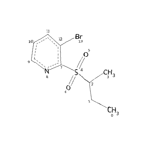 CCC(C)S(=O)(=O)c1ncccc1Br